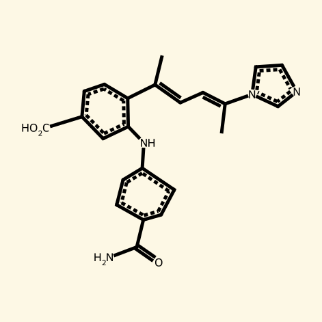 C/C(=C\C=C(/C)n1ccnc1)c1ccc(C(=O)O)cc1Nc1ccc(C(N)=O)cc1